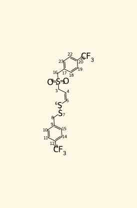 O=S(=O)(C/C=C\SSCc1ccc(C(F)(F)F)cc1)Cc1ccc(C(F)(F)F)cc1